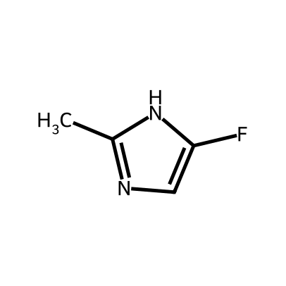 Cc1ncc(F)[nH]1